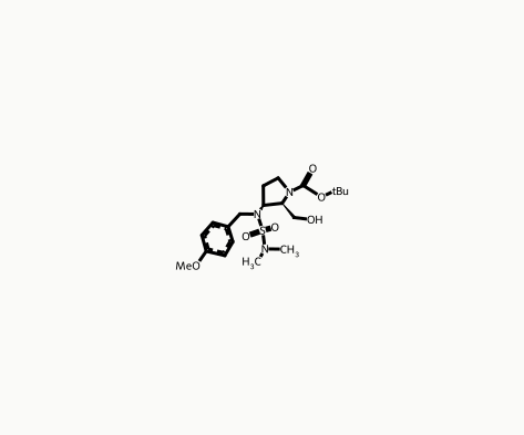 COc1ccc(CN([C@H]2CCN(C(=O)OC(C)(C)C)[C@H]2CO)S(=O)(=O)N(C)C)cc1